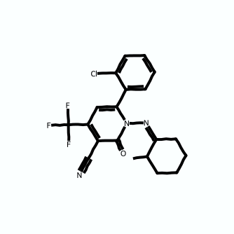 CC1CCCC/C1=N/n1c(-c2ccccc2Cl)cc(C(F)(F)F)c(C#N)c1=O